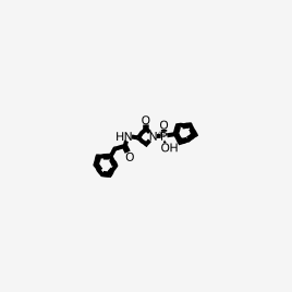 O=C(Cc1ccccc1)NC1CN([P@@](=O)(O)c2ccccc2)C1=O